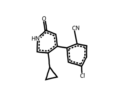 N#Cc1ccc(Cl)cc1-c1cc(=O)[nH]cc1C1CC1